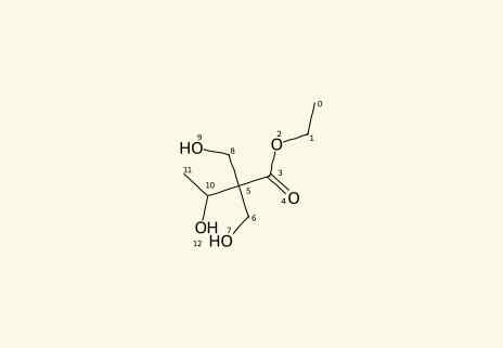 CCOC(=O)C(CO)(CO)C(C)O